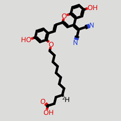 [2H]C(CCCCCCCCOc1cc(O)ccc1/C=C/C1=CC(=C(C#N)C#N)c2cc(O)ccc2O1)CCC(=O)O